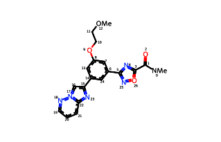 CNC(=O)c1nc(-c2cc(OCCOC)cc(-c3cn4ncccc4n3)c2)no1